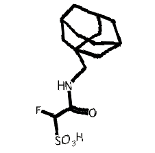 O=C(NCC12CC3CC(CC(C3)C1)C2)C(F)S(=O)(=O)O